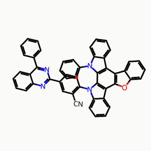 N#Cc1cc(-c2nc(-c3ccccc3)c3ccccc3n2)ccc1-n1c2ccccc2c2c3oc4ccccc4c3c3c4ccccc4n(-c4ccccc4)c3c21